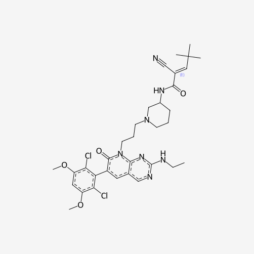 CCNc1ncc2cc(-c3c(Cl)c(OC)cc(OC)c3Cl)c(=O)n(CCCN3CCCC(NC(=O)/C(C#N)=C/C(C)(C)C)C3)c2n1